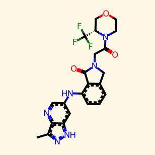 Cc1n[nH]c2cc(Nc3cccc4c3C(=O)N(CC(=O)N3CCOC[C@H]3C(F)(F)F)C4)cnc12